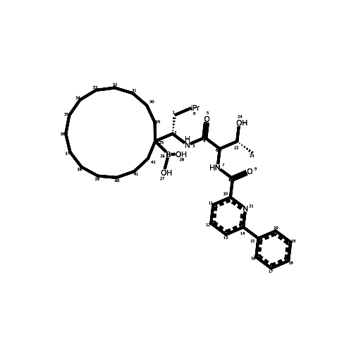 CC(C)C[C@H](NC(=O)C(NC(=O)c1cccc(-c2ccccc2)n1)[C@@H](C)O)C1(B(O)O)CCCCCCCCCCCCCC1